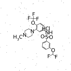 CN1CCN(c2cc(NS(=O)(=O)c3cccc(OC(F)F)c3)ccc2OC(F)(F)F)CC1.Cl